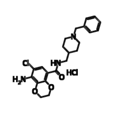 Cl.Nc1c(Cl)cc(C(=O)NCC2CCN(Cc3ccccc3)CC2)c2c1OCCO2